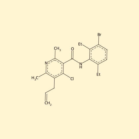 C=CCc1c(C)nc(C)c(C(=O)Nc2c(CC)ccc(Br)c2CC)c1Cl